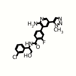 Cn1nncc1-c1cnc(N)c(-c2ccc(C(=O)NC(CO)c3cccc(Cl)c3)c(F)c2)c1